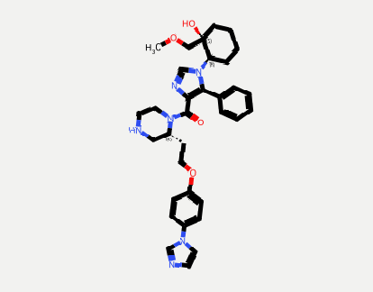 COC[C@]1(O)CCCC[C@H]1n1cnc(C(=O)N2CCNC[C@H]2CCOc2ccc(-n3ccnc3)cc2)c1-c1ccccc1